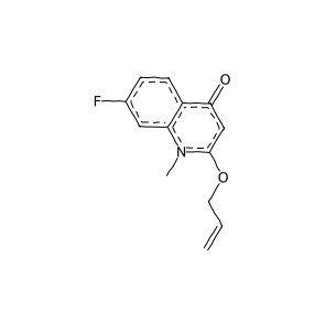 C=CCOc1cc(=O)c2ccc(F)cc2n1C